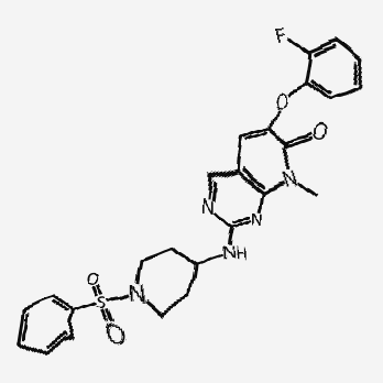 Cn1c(=O)c(Oc2ccccc2F)cc2cnc(NC3CCN(S(=O)(=O)c4ccccc4)CC3)nc21